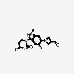 Cn1nc(N2CCC(=O)NC2=O)c2cc(F)c(N3CC(C=O)C3)cc21